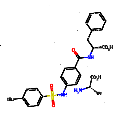 CC(C)(C)c1ccc(S(=O)(=O)Nc2ccc(C(=O)N[C@@H](Cc3ccccc3)C(=O)O)cc2)cc1.CC(C)[C@H](N)C(=O)O